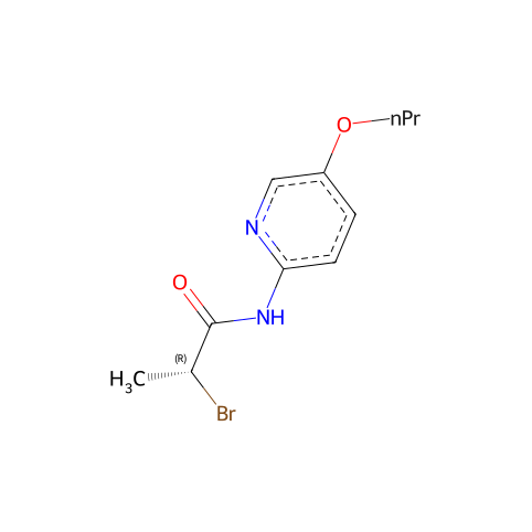 CCCOc1ccc(NC(=O)[C@@H](C)Br)nc1